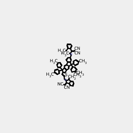 C=Cc1ccccc1C(=C(C#N)C#N)/C(C)=C/c1ccc2c(c1)C(C1=CCC(C)(C)C=C1)(c1ccc(C)cc1)c1cc3c(cc1-2)C(c1ccc(C)cc1)(c1ccc(C)cc1)c1cc(/C=C2\C(=C)c4ccccc4C2=C(C#N)C#N)sc1-3